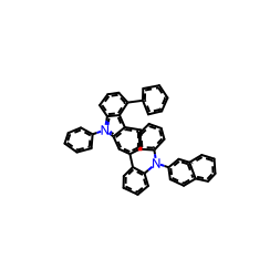 c1ccc(-c2cccc3c2c2ccc(-c4ccccc4N(c4ccccc4)c4ccc5ccccc5c4)cc2n3-c2ccccc2)cc1